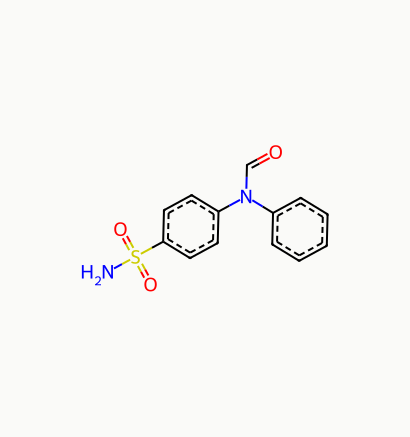 NS(=O)(=O)c1ccc(N(C=O)c2ccccc2)cc1